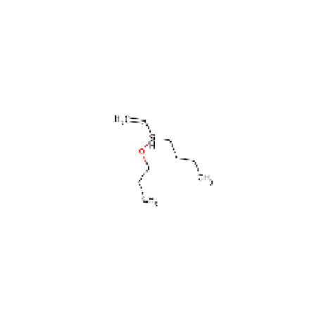 C=C[SiH](CCCC)OCCC